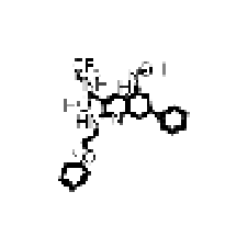 C[C@]1(OCCNC2=NC3CC(c4ccccc4)C/C(=N\O)[C@@H]3C=C2C(O)NCC(F)(F)F)C=CC=CC1